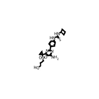 Nc1cc(C2(S(=O)(=O)CCCO)CC2)nc(-c2ccc(NC(=S)NC3CCC3)cc2)n1